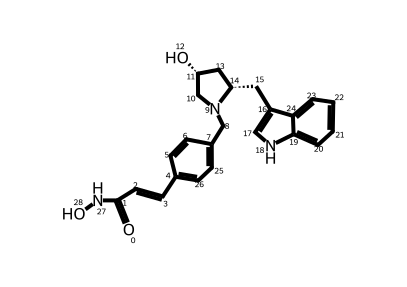 O=C(C=Cc1ccc(CN2C[C@H](O)C[C@@H]2Cc2c[nH]c3ccccc23)cc1)NO